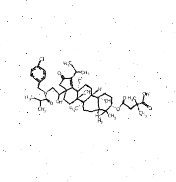 CC(C)C(=O)N(Cc1ccc(Cl)cc1)CC(O)C12CC[C@]3(C)[C@H](CC[C@@H]4[C@@]5(C)CC[C@H](OC(=O)CC(C)(C)C(=O)O)C(C)(C)[C@@H]5CC[C@]43C)C1=C(C(C)C)C(=O)C2